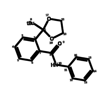 CC(C)(C)C1(c2ccccc2C(=O)Nc2ccccc2)OCCO1